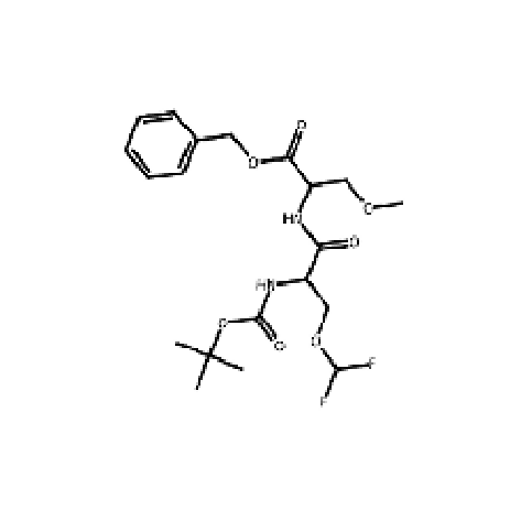 COCC(NC(=O)C(COC(F)F)NC(=O)OC(C)(C)C)C(=O)OCc1ccccc1